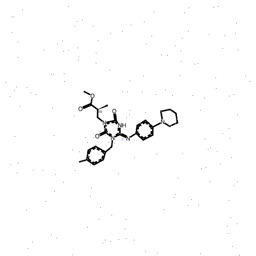 COC(=O)[C@@H](C)Cn1c(=O)[nH]/c(=N\c2ccc(N3CCCCC3)cc2)n(Cc2ccc(C)cc2)c1=O